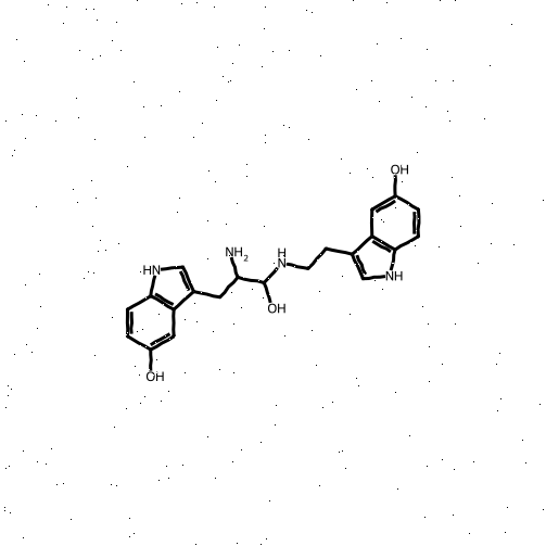 NC(Cc1c[nH]c2ccc(O)cc12)C(O)NCCc1c[nH]c2ccc(O)cc12